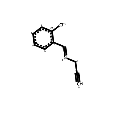 C#CCN=Cc1ccccc1Cl